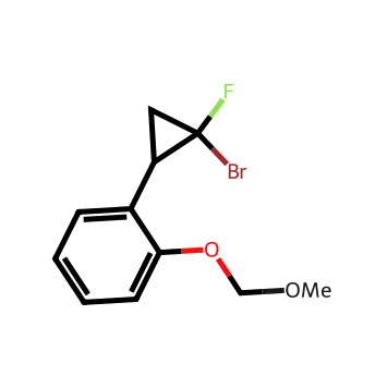 COCOc1ccccc1C1CC1(F)Br